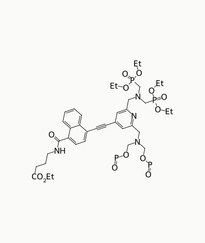 CCOC(=O)CCCNC(=O)c1ccc(C#Cc2cc(CN(COP=O)COP=O)nc(CN(CP(=O)(OCC)OCC)CP(=O)(OCC)OCC)c2)c2ccccc12